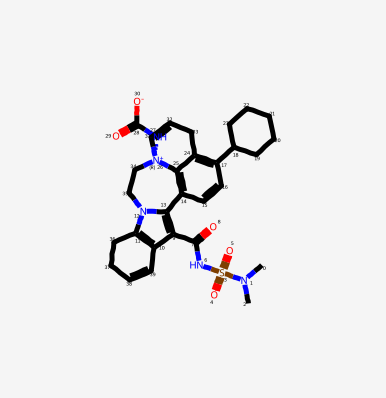 CN(C)S(=O)(=O)NC(=O)c1c2c(n3c1-c1ccc(C4CCCCC4)c4c1[N@+](NC(=O)[O-])(C=CC4)CC3)CCC=C2